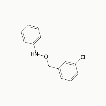 Clc1cccc(CONc2ccccc2)c1